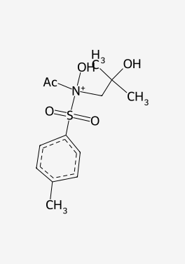 CC(=O)[N+](O)(CC(C)(C)O)S(=O)(=O)c1ccc(C)cc1